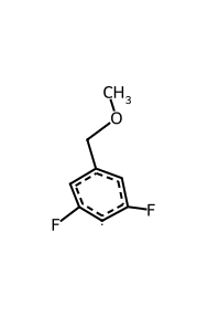 COCc1cc(F)[c]c(F)c1